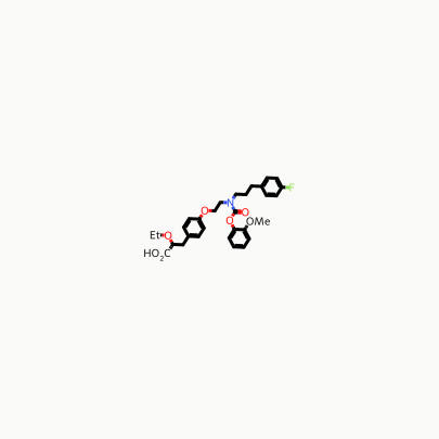 CCOC(Cc1ccc(OCCN(CCCc2ccc(F)cc2)C(=O)Oc2ccccc2OC)cc1)C(=O)O